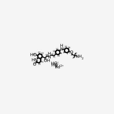 CC(C)(N)COc1ccc(Nc2ccc(CCNC[C@H](O)c3ccc(O)c4[nH]c(=O)ccc34)cc2)cc1.[OH-].[OH-].[Pd+2]